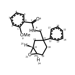 COc1ccccc1C(=O)NCC1(c2ccccc2)CC[C@H]2O[C@@H]2C1